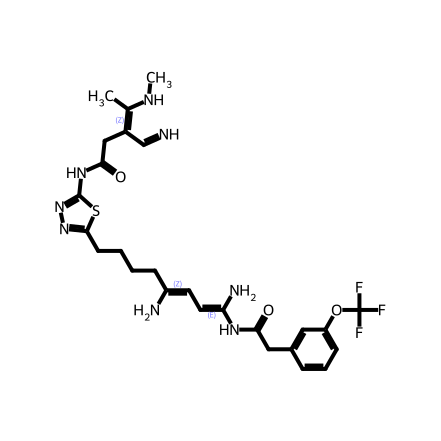 CN/C(C)=C(\C=N)CC(=O)Nc1nnc(CCCC/C(N)=C/C=C(\N)NC(=O)Cc2cccc(OC(F)(F)F)c2)s1